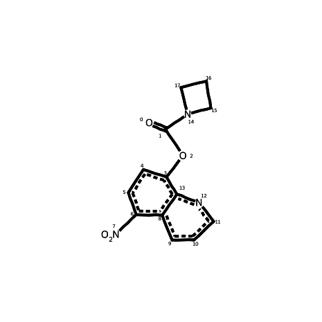 O=C(Oc1ccc([N+](=O)[O-])c2cccnc12)N1CCC1